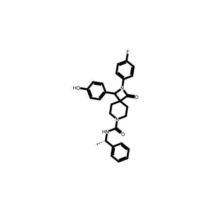 C[C@H](NC(=O)N1CCC2(CC1)C(=O)N(c1ccc(F)cc1)C2c1ccc(O)cc1)c1ccccc1